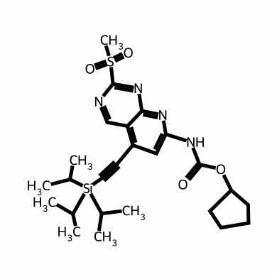 CC(C)[Si](C#Cc1cc(NC(=O)OC2CCCC2)nc2nc(S(C)(=O)=O)ncc12)(C(C)C)C(C)C